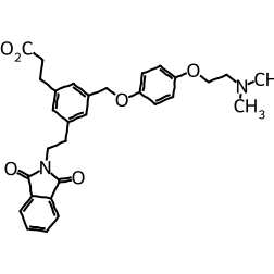 CN(C)CCOc1ccc(OCc2cc(CCC(=O)O)cc(CCN3C(=O)c4ccccc4C3=O)c2)cc1